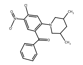 CC1CC(C)CN(c2cc(Cl)c([N+](=O)[O-])cc2C(=O)c2ccccc2)C1